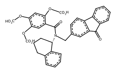 O=C(O)Oc1cc(OC(=O)O)c(C(=O)N(Cc2ccc3c(c2)C(=O)c2ccccc2-3)[C@H]2CCCc3ccccc32)cc1OC(=O)O